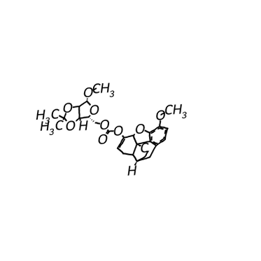 COc1ccc2c3c1OC1C(OC(=O)OC[C@H]4O[C@@H](OC)C5OC(C)(C)O[C@H]54)=CCC4[C@H](CCC[C@]314)C2